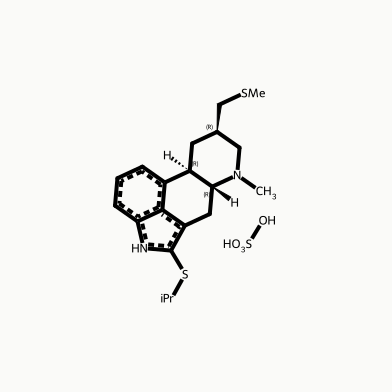 CSC[C@@H]1C[C@@H]2c3cccc4[nH]c(SC(C)C)c(c34)C[C@H]2N(C)C1.O=S(=O)(O)O